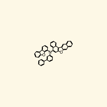 c1ccc(-c2cccc(N(c3cc4oc5cc6ccccc6cc5c4c4ccccc34)c3cccc4c3oc3ccccc34)c2)cc1